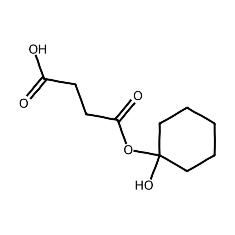 O=C(O)CCC(=O)OC1(O)CCCCC1